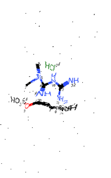 CCCCCCCCCCCCOS(=O)(=O)O.CN(C)C(=N)NC(=N)N.Cl.[NaH]